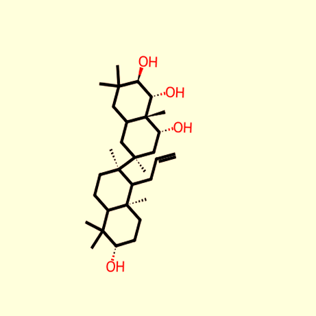 C=CCC1[C@@]2(C)CC[C@H](O)C(C)(C)C2CC[C@@]1(C)[C@@]1(C)CC2CC(C)(C)[C@@H](O)[C@H](O)[C@]2(C)[C@H](O)C1